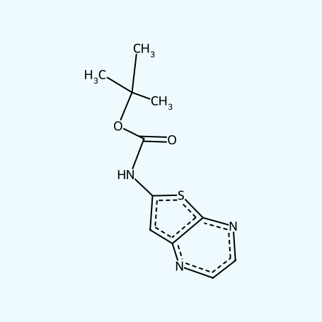 CC(C)(C)OC(=O)Nc1cc2nccnc2s1